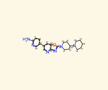 Nc1ccc(-c2cnc3nc(N4CCC(N5CCCCC5)CC4)oc3c2)cn1